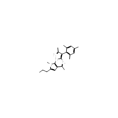 CCCc1cc2c(C)nc3c(-c4c(C)cc(C)cc4C)c(C)nn3c2n1C